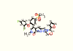 Cn1cc(-c2cc(S(C)(=O)=O)ccc2Oc2ccc(F)cc2F)c2cc(CN3CCOCC3c3ccco3)[nH]c2c1=O